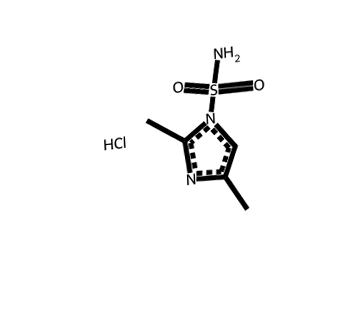 Cc1cn(S(N)(=O)=O)c(C)n1.Cl